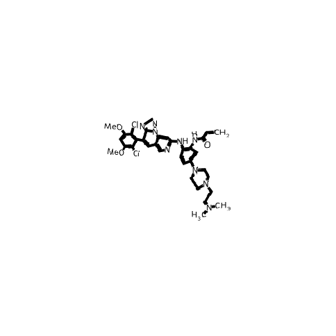 C=CC(=O)Nc1cc(N2CCN(CCN(C)C)CC2)ccc1Nc1cc2c(cn1)cc(-c1c(Cl)c(OC)cc(OC)c1Cl)c1ncnn12